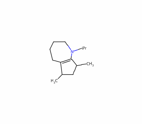 CC1CC(C)C2=C1CCCCN2C(C)C